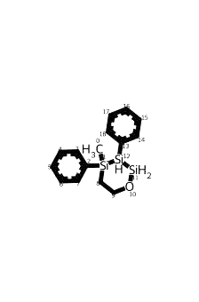 C[Si]1(c2ccccc2)CCO[SiH2][SiH]1c1ccccc1